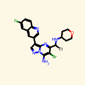 CCC(NC1CCOCC1)c1nc2c(-c3cnc4ccc(F)cc4c3)cnn2c(N)c1Br